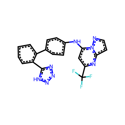 FC(F)(F)c1cc(Nc2ccc(-c3ccccc3-c3nnn[nH]3)cc2)n2nccc2n1